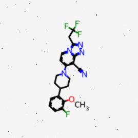 COc1c(F)cccc1C1CCN(c2ccn3c(CC(F)(F)F)nnc3c2C#N)CC1